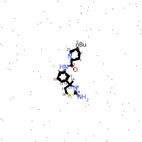 CCCCc1ccc(C(=O)Nc2cccc(C3(C)CCSC(N)=N3)c2)nc1